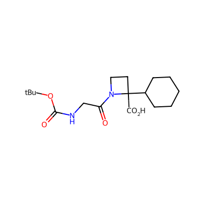 CC(C)(C)OC(=O)NCC(=O)N1CCC1(C(=O)O)C1CCCCC1